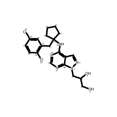 OCC(O)Cn1ncc2c(NC3(Cc4cc(Cl)ccc4Cl)CCCC3)ncnc21